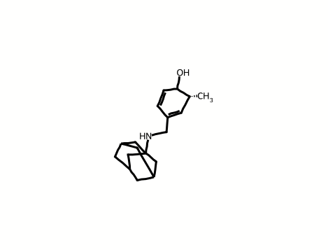 C[C@@H]1C=C(CNC23CC4CC(CC(C4)C2)C3)C=CC1O